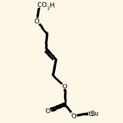 CC(C)(C)OC(=O)OCC=CCOC(=O)O